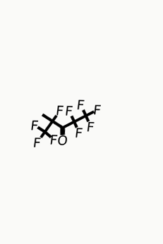 CC(F)(C(=O)C(F)(F)C(F)(F)F)C(F)(F)F